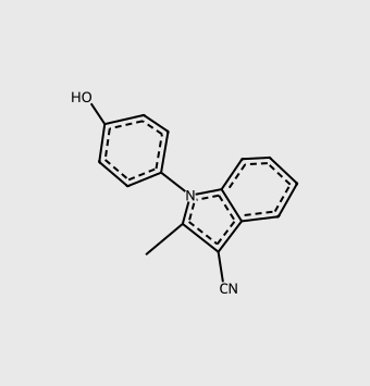 Cc1c(C#N)c2ccccc2n1-c1ccc(O)cc1